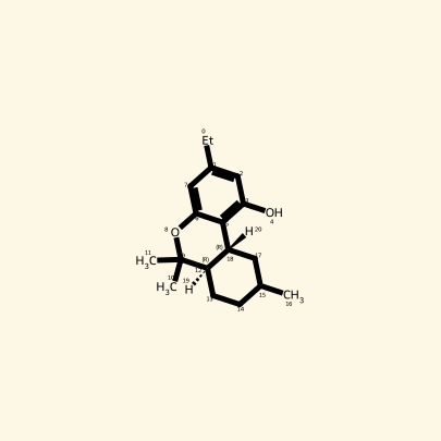 CCc1cc(O)c2c(c1)OC(C)(C)[C@@H]1CCC(C)C[C@@H]21